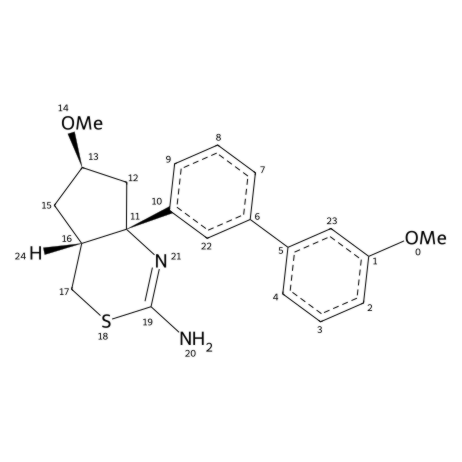 COc1cccc(-c2cccc([C@]34C[C@H](OC)C[C@H]3CSC(N)=N4)c2)c1